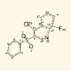 O=S(=O)(c1ccccc1)c1cnc2c(F)cccc2c1Cl